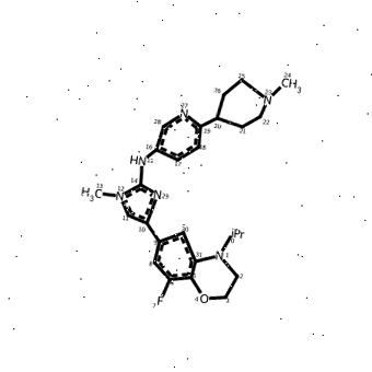 CC(C)N1CCOc2c(F)cc(-c3cn(C)c(Nc4ccc(C5CCN(C)CC5)nc4)n3)cc21